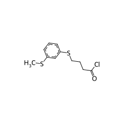 CSc1cccc(SCCCC(=O)Cl)c1